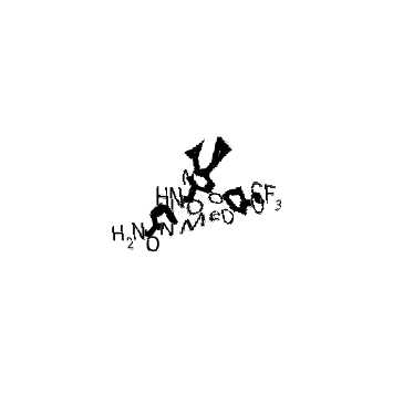 COc1cc(OC(F)(F)F)ccc1Oc1cc(C2CC2)c(C2CC2)nc1C(=O)Nc1ccc(C(N)=O)nc1